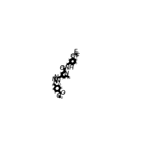 COC(=O)C1CCC(Cn2nnc(-c3cc(C)nc(C(=O)NCc4cccc(OC(F)F)c4)c3)n2)CC1